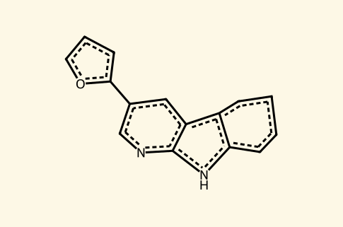 c1coc(-c2cnc3[nH]c4ccccc4c3c2)c1